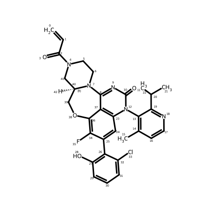 C=CC(=O)N1CCN2c3nc(=O)n(-c4c(C)ccnc4C(C)C)c4cc(-c5c(O)cccc5Cl)c(F)c(c34)OC[C@H]2C1